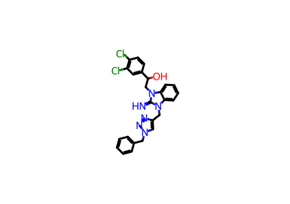 N=c1n(Cc2cn(Cc3ccccc3)nn2)c2ccccc2n1CC(O)c1ccc(Cl)c(Cl)c1